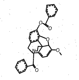 COC1=CC=C2C3Cc4ccc(OC(=O)c5ccccc5)c5c4C2(CCN3C(=O)c2ccccc2)C1O5